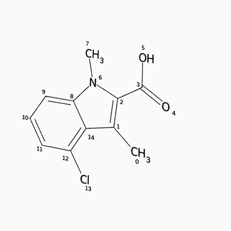 Cc1c(C(=O)O)n(C)c2cccc(Cl)c12